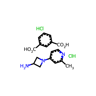 Cc1cc(N2CC(N)C2)ccn1.Cl.Cl.O=C(O)c1cccc(C(=O)O)c1